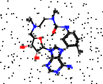 CN(CCN(C)C(=O)Nc1ccc(C(C)(C)C)cc1)C[C@H]1OC(n2cnc3c(N)ncnc32)[C@H](O)[C@@H]1O